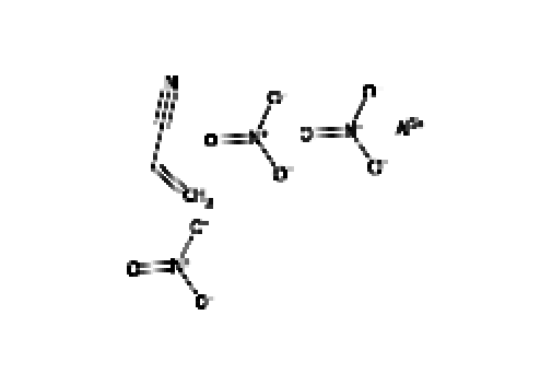 C=CC#N.O=[N+]([O-])[O-].O=[N+]([O-])[O-].O=[N+]([O-])[O-].[Al+3]